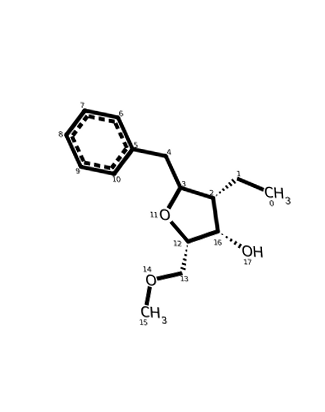 CC[C@H]1C(Cc2ccccc2)O[C@@H](COC)[C@H]1O